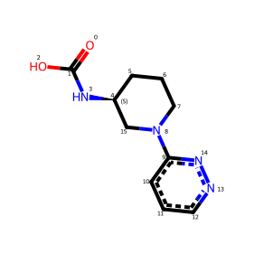 O=C(O)N[C@H]1CCCN(c2cccnn2)C1